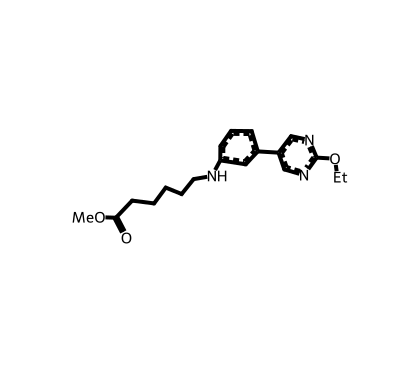 CCOc1ncc(-c2cccc(NCCCCCC(=O)OC)c2)cn1